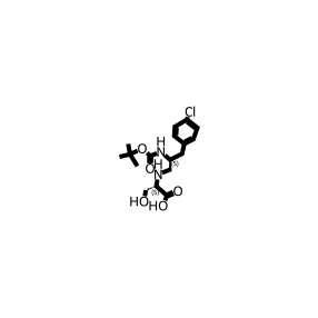 CC(C)(C)OC(=O)N[C@H](CN[C@@H](CO)C(=O)O)Cc1ccc(Cl)cc1